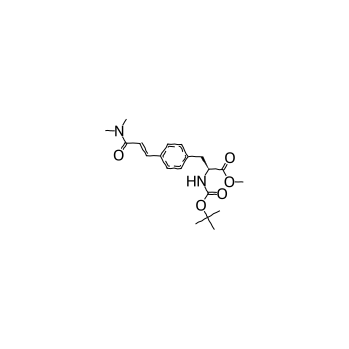 COC(=O)[C@H](Cc1ccc(C=CC(=O)N(C)C)cc1)NC(=O)OC(C)(C)C